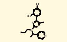 CCCN(c1nc(-c2ccc(Cl)cc2O)c(C)s1)C(C)c1ccncc1